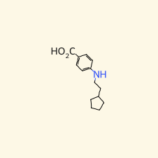 O=C(O)c1ccc(NCCC2CCCC2)cc1